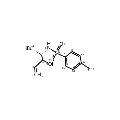 C=CC(O)[C@@H](NS(=O)(=O)c1ccc(F)cc1)[C@@H](C)CC